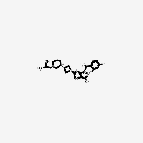 CC(O)CN1CCC[C@H](C2CN(c3cnc4c(C#N)nn(C(C)c5ccc(Cl)cc5Cl)c4n3)C2)C1